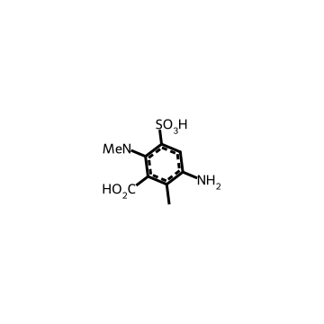 CNc1c(S(=O)(=O)O)cc(N)c(C)c1C(=O)O